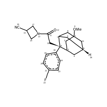 COC12CC3C[C@H](CC(C1)[C@@]3(CC(=O)N1CC(C#N)C1)c1ccc(F)cc1)C2